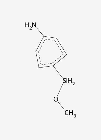 CO[SiH2]c1ccc(N)cc1